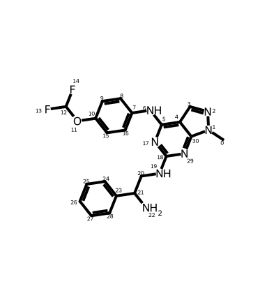 Cn1ncc2c(Nc3ccc(OC(F)F)cc3)nc(NCC(N)c3ccccc3)nc21